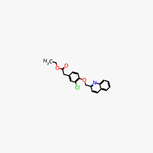 CCOC(=O)Cc1ccc(OCc2ccc3ccccc3n2)c(Cl)c1